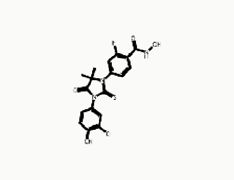 CC1(C)C(=O)N(c2ccc(C#N)c(Cl)c2)C(=S)N1c1ccc(C(=O)NO)c(F)c1